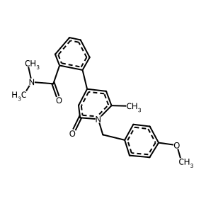 COc1ccc(Cn2c(C)cc(-c3ccccc3C(=O)N(C)C)cc2=O)cc1